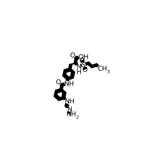 CCCCS(=O)(=O)N[C@@H](Cc1ccc(NC(=O)c2cccc(NC=NN)c2)cc1)C(=O)O